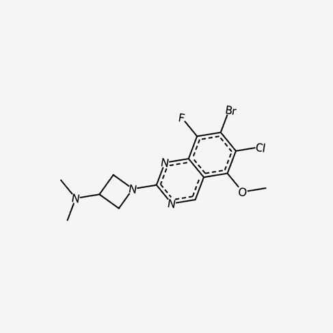 COc1c(Cl)c(Br)c(F)c2nc(N3CC(N(C)C)C3)ncc12